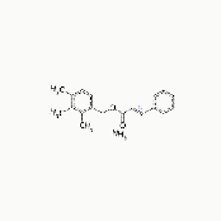 Cc1ccc(COC(=O)/C=C/c2ccccc2)c(C)c1C.N